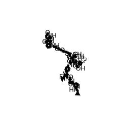 CC(C)(C)[C@H](NC(=O)COCCOCCOCCNc1cccc2c1C(=O)N(C1CCC(=O)NC1=O)C2=O)C(=O)N1C[C@H](N2CCC[C@H]2C(=O)O)C[C@H]1C(=O)NCc1ccc(-n2cc(NC(=O)c3coc(-c4ccnc(NCC5CC5)c4)n3)c(C(F)F)n2)cc1